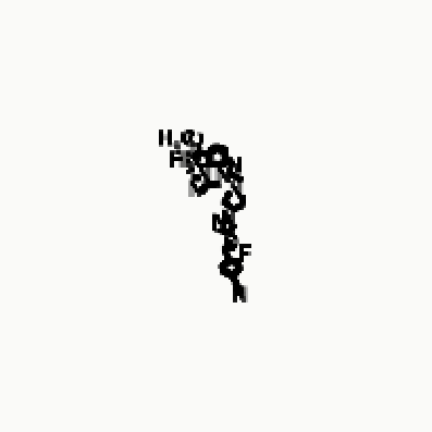 CCn1cncc1Cn1c(CN2CCC(n3cc(OCc4ccc(C#N)cc4F)cn3)CC2)nc2ccc(C(=O)OC)cc21